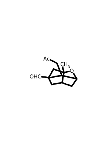 CC(=O)CC1C2CC3CC1(C=O)CC3(C)O2